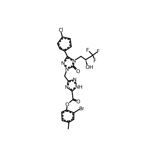 Cc1ccc(OC(=O)c2nc(Cn3nc(-c4ccc(Cl)cc4)n(C[C@H](O)C(F)(F)F)c3=O)n[nH]2)c(Br)c1